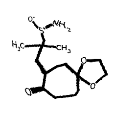 CC(C)(CC1CC2(CCC1=O)OCCO2)[S+](N)[O-]